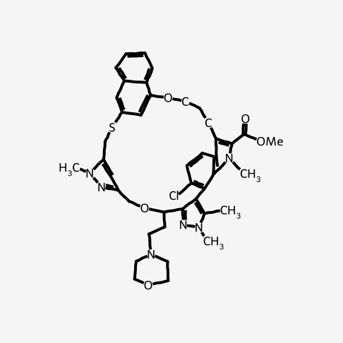 COC(=O)c1c2c3ccc(Cl)c(c3n1C)-c1c(nn(C)c1C)C(CCN1CCOCC1)OCc1cc(n(C)n1)CSc1cc(c3ccccc3c1)OCCC2